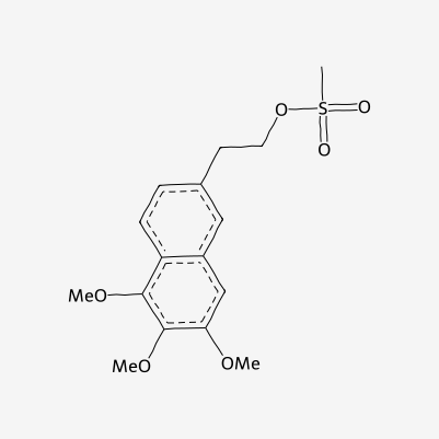 COc1cc2cc(CCOS(C)(=O)=O)ccc2c(OC)c1OC